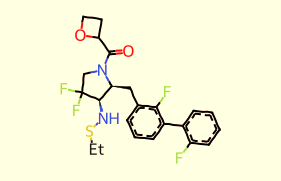 CCSN[C@@H]1[C@H](Cc2cccc(-c3ccccc3F)c2F)N(C(=O)C2CCO2)CC1(F)F